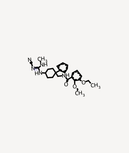 CCOc1cccc(C(=O)NCC2(c3ccccc3)CCC(N/C(=N/C#N)NC)CC2)c1OCC